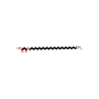 CCCCCCCCCCCCCCCCCCCCCCCCCCOC(=O)CC(=O)O